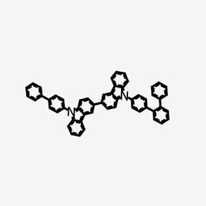 c1ccc(-c2ccc(-n3c4ccccc4c4cc(-c5ccc6c(c5)c5ccccc5n6-c5ccc(-c6ccccc6-c6ccccc6)cc5)ccc43)cc2)cc1